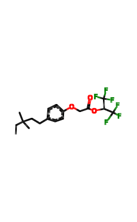 CCC(C)(C)CCc1ccc(OCC(=O)OC(C(F)(F)F)C(F)(F)F)cc1